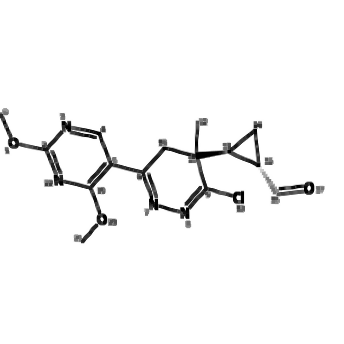 COc1ncc(C2=NN=C(Cl)C(C)([C@H]3C[C@@H]3C=O)C2)c(OC)n1